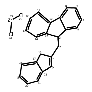 C1=C(CC2c3ccccc3-c3ccccc32)Cc2ccccc21.[Cl][Zr][Cl]